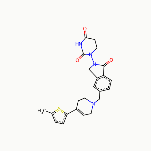 Cc1ccc(C2=CCN(Cc3ccc4c(c3)CN(N3CCC(=O)NC3=O)C4=O)CC2)s1